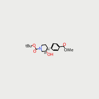 COC(=O)c1ccc([C@H]2CCN(C(=O)OC(C)(C)C)C[C@@H]2O)cc1